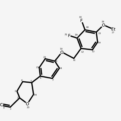 C=CC1CCC(c2ccc(OCc3ccc(OCC)c(F)c3F)cc2)CO1